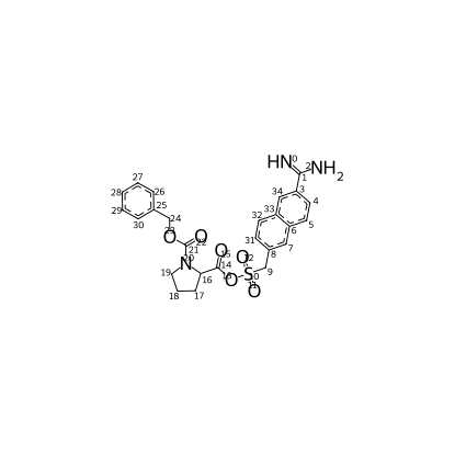 N=C(N)c1ccc2cc(CS(=O)(=O)OC(=O)C3CCCN3C(=O)OCc3ccccc3)ccc2c1